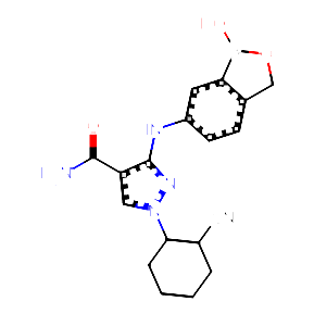 N#CC1CCCCC1n1cc(C(N)=O)c(Nc2ccc3c(c2)B(O)OC3)n1